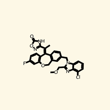 COCc1nc2c(Cl)cccc2n1Cc1ccc2c(c1)COc1cc(F)ccc1/C2=C(/C)c1noc(=O)[nH]1